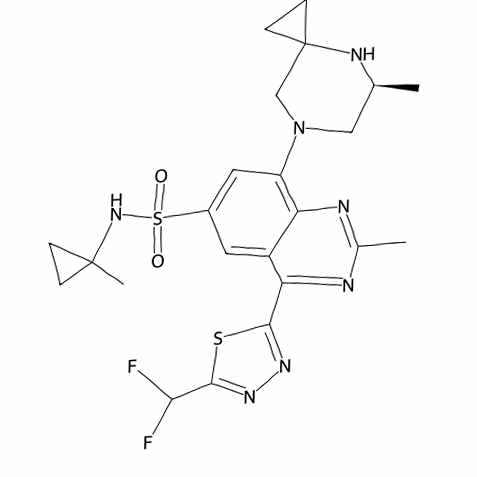 Cc1nc(-c2nnc(C(F)F)s2)c2cc(S(=O)(=O)NC3(C)CC3)cc(N3C[C@H](C)NC4(CC4)C3)c2n1